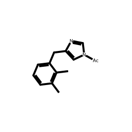 CC(=O)n1cnc(Cc2cccc(C)c2C)c1